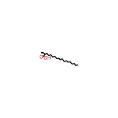 C=CC(CCCCCCCCCCCCCCCCC)C(=O)O